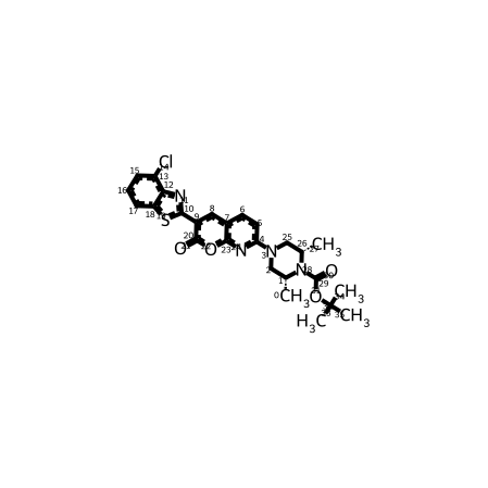 C[C@@H]1CN(c2ccc3cc(-c4nc5c(Cl)cccc5s4)c(=O)oc3n2)C[C@H](C)N1C(=O)OC(C)(C)C